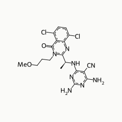 COCCCn1c([C@H](C)Nc2nc(N)nc(N)c2C#N)nc2c(Cl)ccc(Cl)c2c1=O